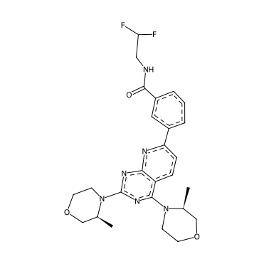 C[C@H]1COCCN1c1nc(N2CCOC[C@@H]2C)c2ccc(-c3cccc(C(=O)NCC(F)F)c3)nc2n1